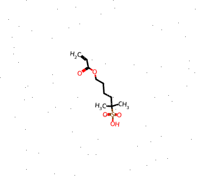 C=CC(=O)OCCC[CH]C(C)(C)S(=O)(=O)O